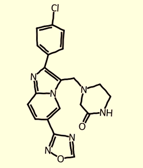 O=C1CN(Cc2c(-c3ccc(Cl)cc3)nc3ccc(-c4ncon4)cn23)CCN1